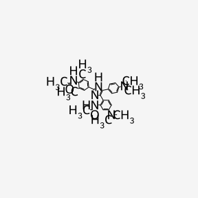 CC(=O)Nc1cc(N(C)C)ccc1-c1nc(-c2cc(C)c(NC(C)=O)c(C)c2)[nH]c1-c1ccc(N(C)C)cc1